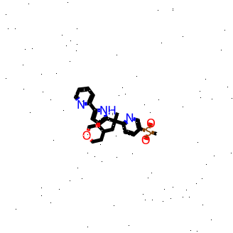 CC(CC1CCOCC1)(c1ccc(S(C)(=O)=O)cn1)c1ccc(-c2ccccn2)[nH]1